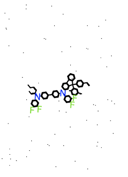 C=Cc1ccc(C2(c3cc(C)ccc3C)c3ccccc3-c3ccc(N(c4ccc(-c5ccc(N(C(/C=C\CC)=C/C)c6ccc(F)c(F)c6)cc5)cc4)c4ccc(F)c(F)c4)cc32)cc1